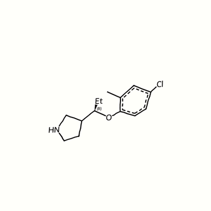 CC[C@@H](Oc1ccc(Cl)cc1C)C1CCNC1